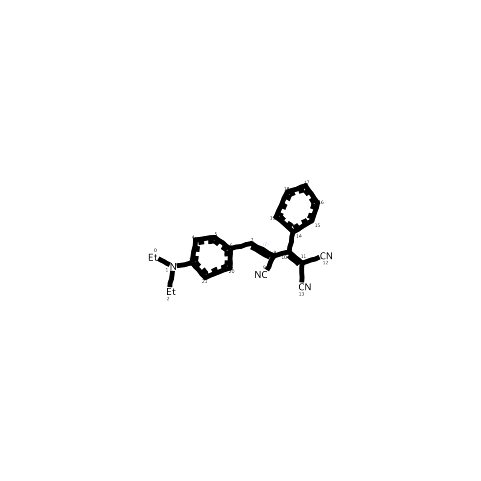 CCN(CC)c1ccc(/C=C(\C#N)C(=C(C#N)C#N)c2ccccc2)cc1